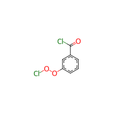 O=C(Cl)c1cccc(OOCl)c1